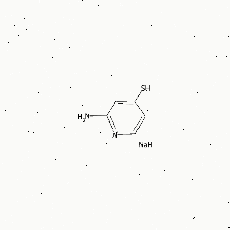 Nc1cc(S)ccn1.[NaH]